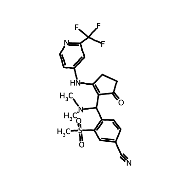 CN(C)C(C1=C(Nc2ccnc(C(F)(F)F)c2)CCC1=O)c1ccc(C#N)cc1S(C)(=O)=O